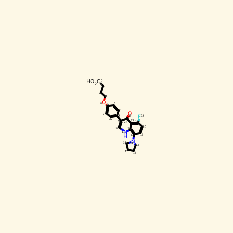 O=C(O)CCCOc1ccc(-c2c[nH]c3c(N4CCCC4)ccc(F)c3c2=O)cc1